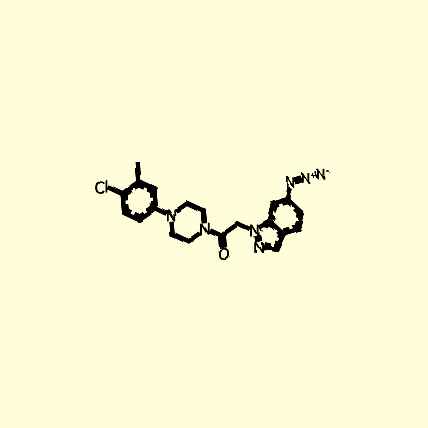 Cc1cc(N2CCN(C(=O)Cn3ncc4ccc(N=[N+]=[N-])cc43)CC2)ccc1Cl